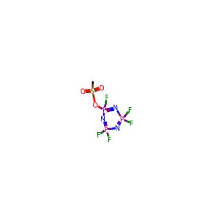 CS(=O)(=O)OP1(F)=NP(F)(F)=NP(F)(F)=N1